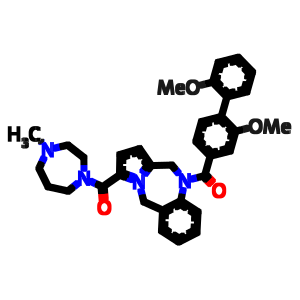 COc1ccccc1-c1ccc(C(=O)N2Cc3ccc(C(=O)N4CCCN(C)CC4)n3Cc3ccccc32)cc1OC